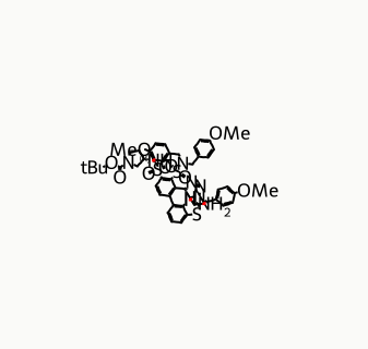 COc1ccc(CN(Cc2ccc(OC)cc2)S(=O)(=O)c2c(S(=O)(=O)N[C@@H]3CCN(C(=O)OC(C)(C)C)C3)ccc(-c3cccc4sc(N)nc34)c2-c2nnn(Cc3ccc(OC)cc3)n2)cc1